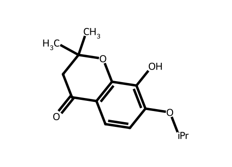 CC(C)Oc1ccc2c(c1O)OC(C)(C)CC2=O